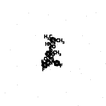 COc1c(OCC(=O)Nc2cc(C)cc(C)n2)cccc1C1SC(c2ccc(F)cc2)=NN1C(=O)c1c(F)cc(F)cc1F